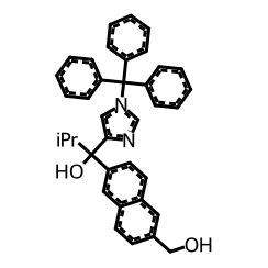 CC(C)C(O)(c1ccc2cc(CO)ccc2c1)c1cn(C(c2ccccc2)(c2ccccc2)c2ccccc2)cn1